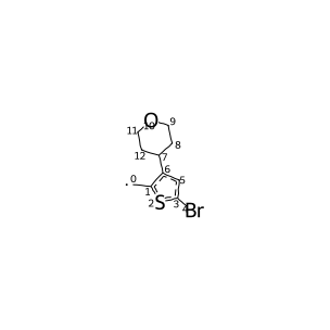 [CH2]c1sc(Br)cc1C1CCOCC1